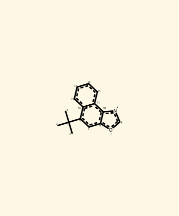 CC(C)(C)c1cc2ocnc2c2ccccc12